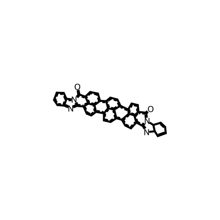 O=c1c2ccc3c4ccc5c6ccc7c(=O)n8c9ccccc9nc8c8ccc(c9ccc(c%10ccc(c%11n1C1C=CC=CC1N=%11)c2c3%10)c4c59)c6c78